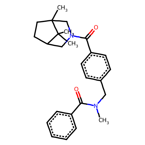 CN(Cc1ccc(C(=O)N2CC3CCC(C)(C2)C3(C)C)cc1)C(=O)c1ccccc1